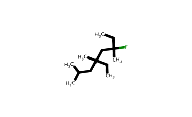 CCC(C)(F)CC(C)(CC)CC(C)C